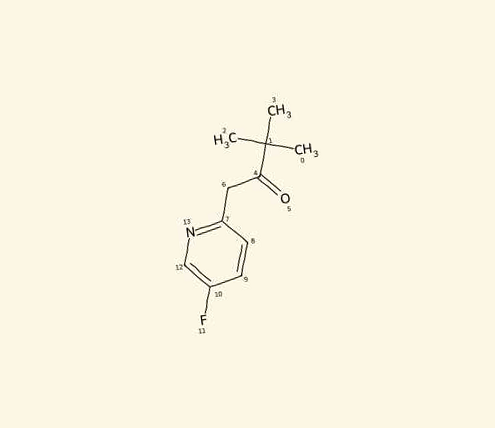 CC(C)(C)C(=O)Cc1ccc(F)cn1